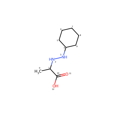 CC(NNC1CCCCC1)C(=O)O